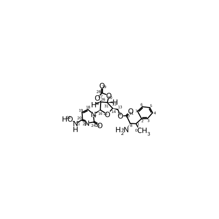 CC(c1ccccc1)[C@H](N)C(=O)OC[C@H]1O[C@@H](n2ccc(NO)nc2=O)[C@@H]2OC(=O)O[C@@H]21